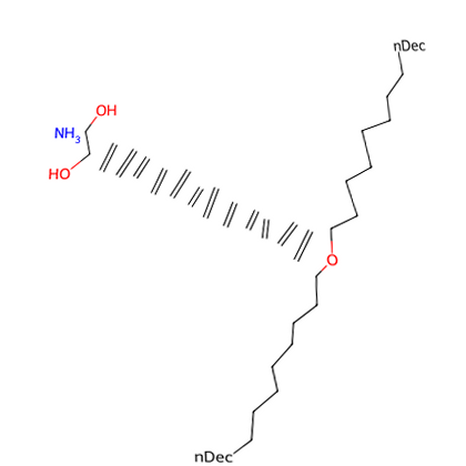 C=C.C=C.C=C.C=C.C=C.C=C.C=C.C=C.C=C.C=C.C=C.C=C.CCCCCCCCCCCCCCCCCCOCCCCCCCCCCCCCCCCCC.N.OCCO